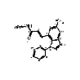 CCCNC(=O)C=Cc1cc(C(F)(F)F)cc2ncn(-c3ccccc3)c12